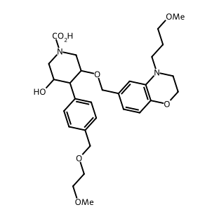 COCCCN1CCOc2ccc(COC3CN(C(=O)O)CC(O)C3c3ccc(COCCOC)cc3)cc21